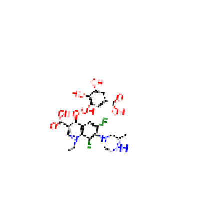 CCn1cc(C(=O)O)c(=O)c2cc(F)c(N3CCNC(C)C3)c(F)c21.O=C(O)c1cc(O)c(O)c(O)c1